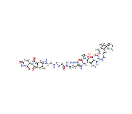 Cn1cc(-c2ccnc(-n3ncc4cc(C(C)(C)C)cc(F)c4c3=O)c2CO)cc(Nc2cc(CNC(=O)CCCNCCNc3cc4c(cc3F)C(=O)N(C3CCC(=O)NC3=O)C4=O)[nH]n2)c1=O